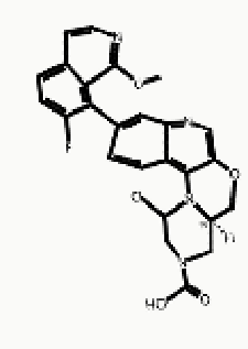 COc1nccc2ccc(F)c(-c3ccc4c5c(cnc4c3)OC[C@H]3CN(C(=O)O)CC(Cl)N53)c12